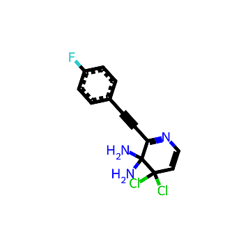 NC1(N)C(C#Cc2ccc(F)cc2)=NC=CC1(Cl)Cl